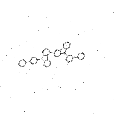 c1ccc(-c2ccc(C3c4ccccc4-c4c(-c5ccc6c(c5)c5ccccc5n6-c5cccc(-c6ccccc6)c5)cccc43)cc2)cc1